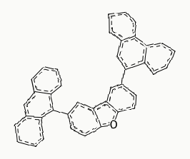 c1ccc2c(-c3ccc4oc5ccc(-c6cc7ccccc7c7ccccc67)cc5c4c3)c3ccccc3cc2c1